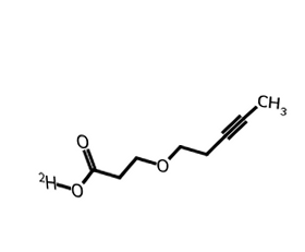 [2H]OC(=O)CCOCCC#CC